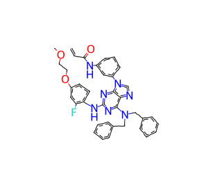 C=CC(=O)Nc1cccc(-n2cnc3c(N(Cc4ccccc4)Cc4ccccc4)nc(Nc4ccc(OCCOC)cc4F)nc32)c1